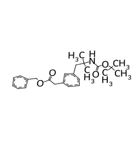 CC(C)(Cc1cccc(CC(=O)OCc2ccccc2)c1)NC(=O)OC(C)(C)C